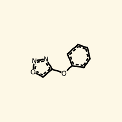 c1ccc(Oc2conn2)cc1